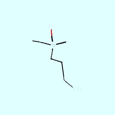 CCCCCC[Si](C)(C)[O]